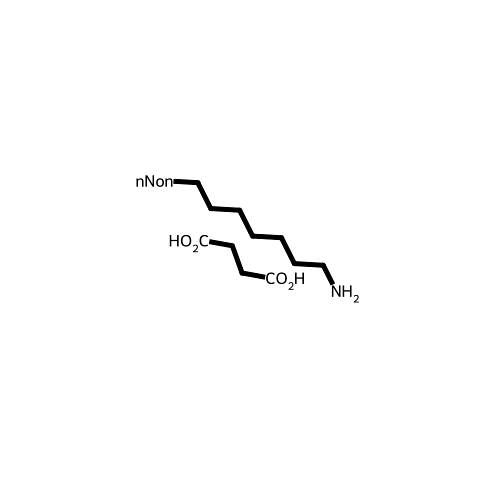 CCCCCCCCCCCCCCCCN.O=C(O)CCC(=O)O